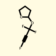 FC#CC(F)(F)OC1CCCO1